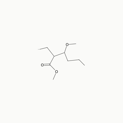 [CH2]CC(C(=O)OC)C(CCC)OC